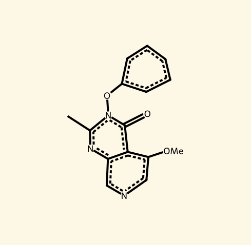 COc1cncc2nc(C)n(Oc3ccccc3)c(=O)c12